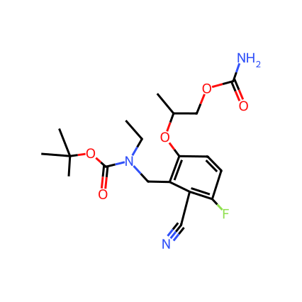 CCN(Cc1c(OC(C)COC(N)=O)ccc(F)c1C#N)C(=O)OC(C)(C)C